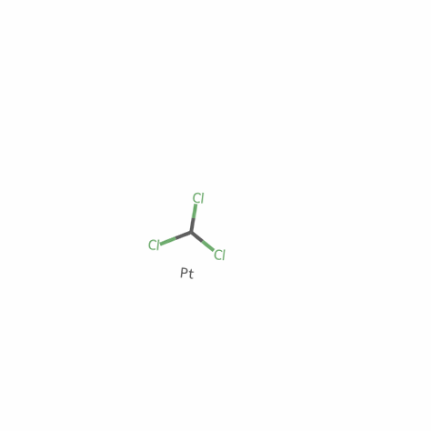 ClC(Cl)Cl.[Pt]